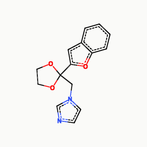 c1ccc2oc(C3(Cn4ccnc4)OCCO3)cc2c1